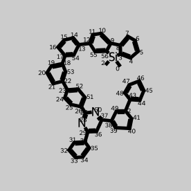 C[Si]1(C)c2ccccc2-c2ccc(-c3cccc(-c4cccc(-c5ccc(-c6nc(-c7ccccc7)cc(-c7cccc(-c8ccccc8)c7)n6)cc5)c4)c3)cc21